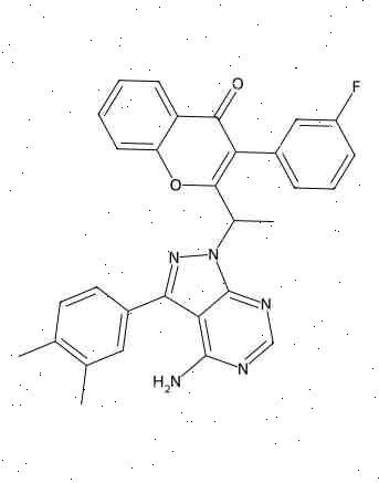 Cc1ccc(-c2nn(C(C)c3oc4ccccc4c(=O)c3-c3cccc(F)c3)c3ncnc(N)c23)cc1C